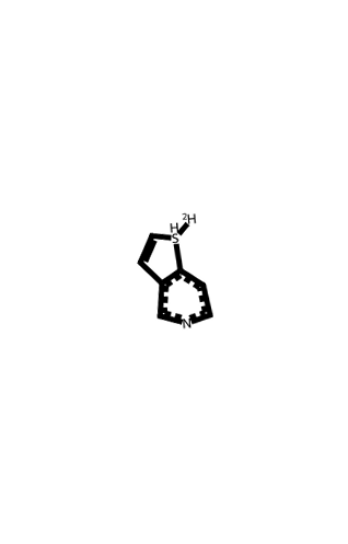 [2H][SH]1C=Cc2cnccc21